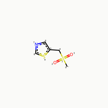 [CH2]S(=O)(=O)Cc1cncs1